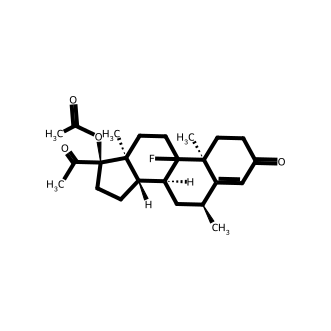 CC(=O)O[C@]1(C(C)=O)CC[C@H]2[C@@H]3C[C@H](C)C4=CC(=O)CC[C@]4(C)C3(F)CC[C@@]21C